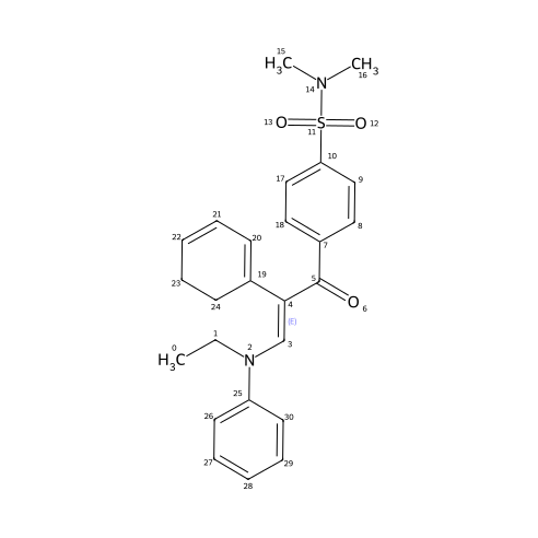 CCN(/C=C(/C(=O)c1ccc(S(=O)(=O)N(C)C)cc1)C1=CC=CCC1)c1ccccc1